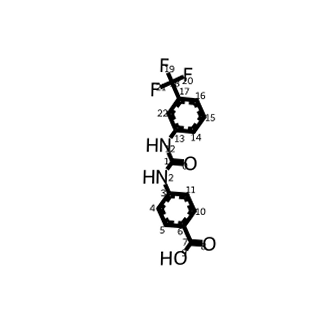 O=C(Nc1ccc(C(=O)O)cc1)Nc1cccc(C(F)(F)F)c1